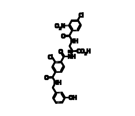 O=C(NCc1cccc(O)c1)c1ccc(C(=O)N[C@@H](CNC(=O)c2ccc(Cl)cc2[N+](=O)[O-])C(=O)O)c(Cl)c1